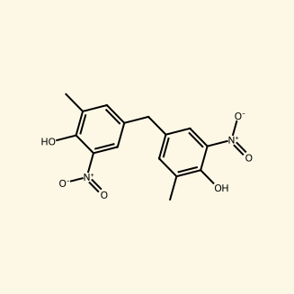 Cc1cc(Cc2cc(C)c(O)c([N+](=O)[O-])c2)cc([N+](=O)[O-])c1O